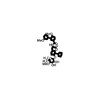 COc1cccc(-c2cc(C(=O)Nc3cc4ccc(O[C@@H]5OC(C)(C)[C@H](OC)[C@@H](O)[C@H]5O)c(-c5ccccc5)c4oc3=O)ccc2OC)c1